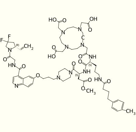 C=C[C@H]1CC(F)(F)CN1C(=O)CNC(=O)c1ccnc2ccc(OCCCN3CCN(C(=O)[C@H](CC(=O)OC)NC(=O)[C@H](CCCNC(=O)CCCc4ccc(C)cc4)NC(=O)CN4CCN(CC(=O)O)CCN(CC(=O)O)CCN(CC(=O)O)CC4)CC3)cc12